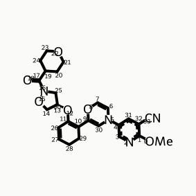 COc1ncc(N2C=COC(C3=C(O[C@H]4CON(C(=O)C5CCOCC5)C4)C=CCC3)=C2)cc1C#N